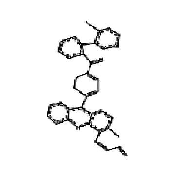 C=C/C=C\c1c(C)ccc2c(C3=CC=C(C(=C)c4ccccc4-c4ccccc4C)CC3)c3ccccc3nc12